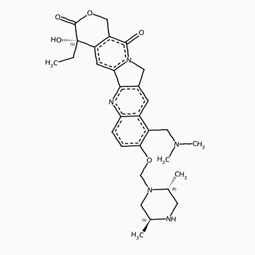 CC[C@@]1(O)C(=O)OCc2c1cc1n(c2=O)Cc2cc3c(CN(C)C)c(OCN4C[C@H](C)NC[C@H]4C)ccc3nc2-1